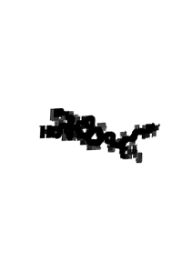 CC(C)CCCC(C)COc1ccc(CCC(N)(CO)CC(C)C)c(O)c1